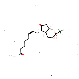 CCCCC(F)(F)C1(O)CC[C@H]2[C@@H](CC(=O)[C@@H]2C/C=C\CCCCC(=O)OC)S1